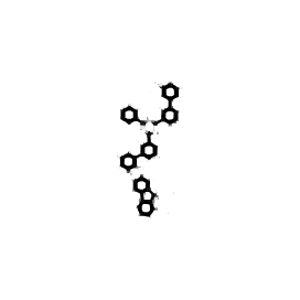 CC1(C)c2ccccc2-c2cc3c(cc21)Oc1c(cccc1-c1cccc(-c2nc(-c4ccccc4)nc(-c4cccc(-c5cccc(N)c5)c4)n2)c1)O3